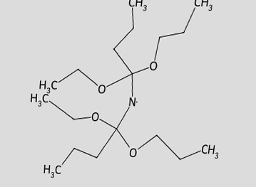 CCCOC(CCC)([N]C(CCC)(OCC)OCCC)OCC